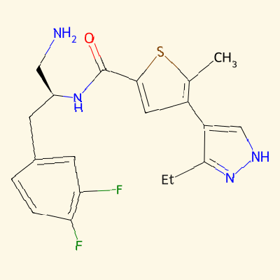 CCc1n[nH]cc1-c1cc(C(=O)N[C@H](CN)Cc2ccc(F)c(F)c2)sc1C